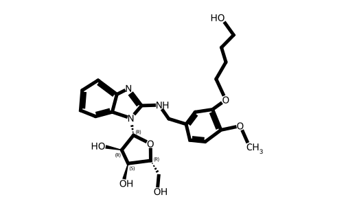 COc1ccc(CNc2nc3ccccc3n2[C@@H]2O[C@H](CO)[C@@H](O)[C@H]2O)cc1OCCCCO